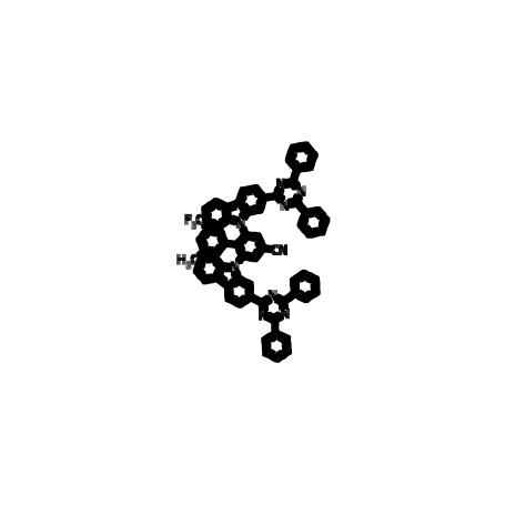 Cc1cc(-c2c(-n3c4ccccc4c4ccc(-c5nc(-c6ccccc6)nc(-c6ccccc6)n5)cc43)cc(C#N)cc2-n2c3ccccc3c3ccc(-c4nc(-c5ccccc5)nc(-c5ccccc5)n4)cc32)cc(C(F)(F)F)c1